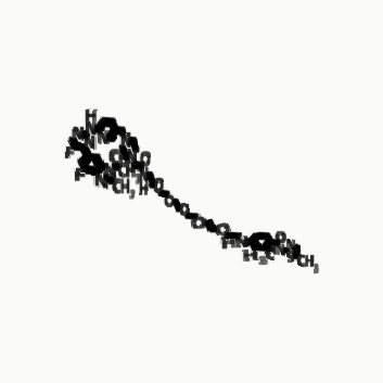 Cc1cnc(NC(=O)c2ccc(NCCOCCOCCOCCOCCOCCNC(=O)CN3CCN(Cc4ccc(Nc5ncc(F)c(-c6cc(F)c7nc(C)n(C(C)C)c7c6)n5)nc4)CC3)cc2C)s1